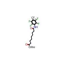 COC(=O)CCCCCCCC(=O)Nc1c(F)c(F)c(C(F)(F)F)c(F)c1F